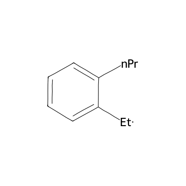 C[CH]c1ccccc1CCC